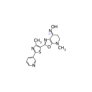 Cc1nc(-c2cccnc2)sc1-c1nc2c(o1)N(C)CC/C2=N\O